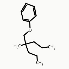 CCCC(C)(CCC)COc1ccccc1